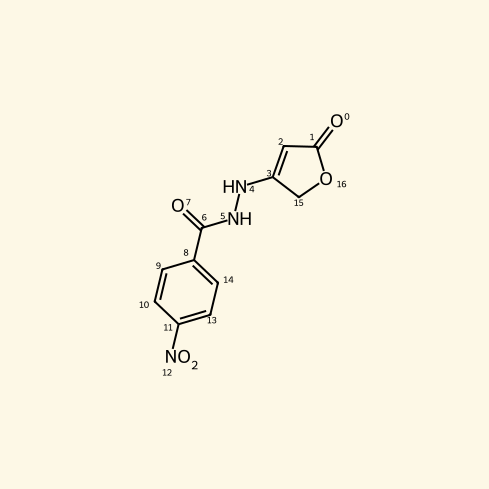 O=C1C=C(NNC(=O)c2ccc([N+](=O)[O-])cc2)CO1